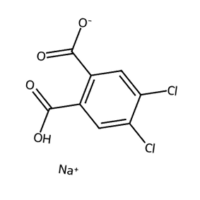 O=C([O-])c1cc(Cl)c(Cl)cc1C(=O)O.[Na+]